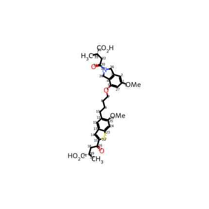 COc1cc2c(c(OCCCCc3cc4cc(C(=O)C[C@H](C)C(=O)O)sc4cc3OC)c1)CN(C(=O)C[C@H](C)C(=O)O)C2